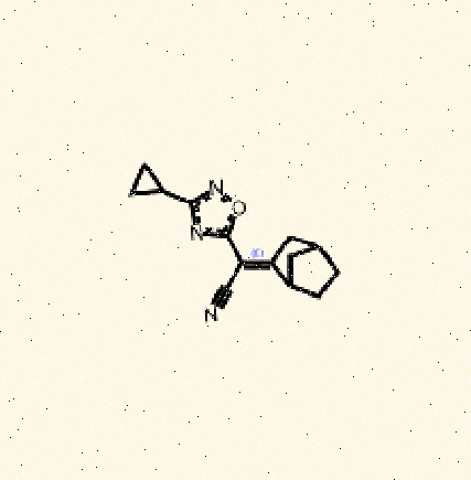 N#C/C(=C1/CC2CCC1C2)c1nc(C2CC2)no1